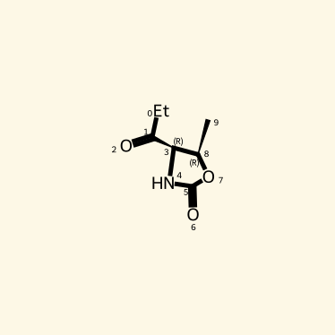 CCC(=O)[C@@H]1NC(=O)O[C@@H]1C